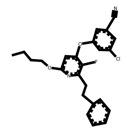 CCCCOc1cc(Oc2cc(Cl)cc(C#N)c2)c(F)c(CCc2ccccc2)n1